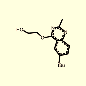 Cc1nc(OCCO)c2cc(C(C)(C)C)ccc2n1